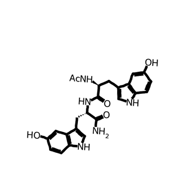 CC(=O)N[C@@H](Cc1c[nH]c2ccc(O)cc12)C(=O)N[C@@H](Cc1c[nH]c2ccc(O)cc12)C(N)=O